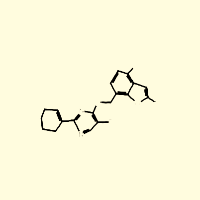 Fc1cc2c(Cl)ccc(COc3nc(C4=CCCCC4)ncc3F)c2o1